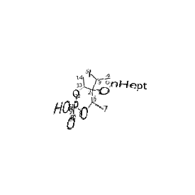 CCCCCCCOC1(C(C)I)C(C)OP(=O)(O)OC1C